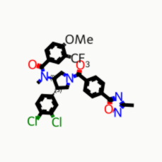 COc1ccc(C(=O)N(C)[C@H]2CN(C(=O)c3ccc(-c4nc(C)no4)cc3)C[C@@H]2c2ccc(Cl)c(Cl)c2)cc1C(F)(F)F